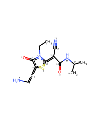 CCn1c(=O)c(=C=CN)s/c1=C(/C#N)C(=O)NC(C)C